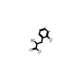 O=C(Cl)C(Br)Cc1ccccc1Cl